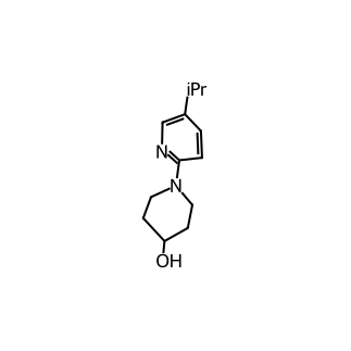 CC(C)c1ccc(N2CCC(O)CC2)nc1